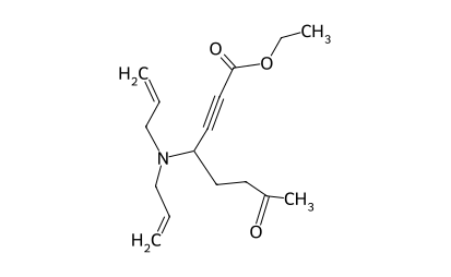 C=CCN(CC=C)C(C#CC(=O)OCC)CCC(C)=O